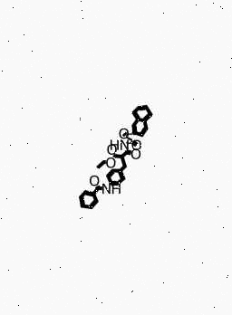 CCOC(=O)C(Cc1ccc(NC(=O)c2ccccc2)cc1)C(=O)NS(=O)(=O)c1ccc2ccccc2c1